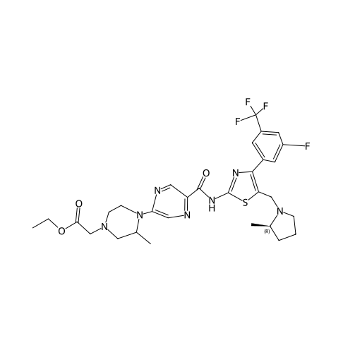 CCOC(=O)CN1CCN(c2cnc(C(=O)Nc3nc(-c4cc(F)cc(C(F)(F)F)c4)c(CN4CCC[C@H]4C)s3)cn2)C(C)C1